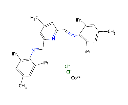 Cc1cc(C=Nc2c(C(C)C)cc(C)cc2C(C)C)nc(C=Nc2c(C(C)C)cc(C)cc2C(C)C)c1.[Cl-].[Cl-].[Co+2]